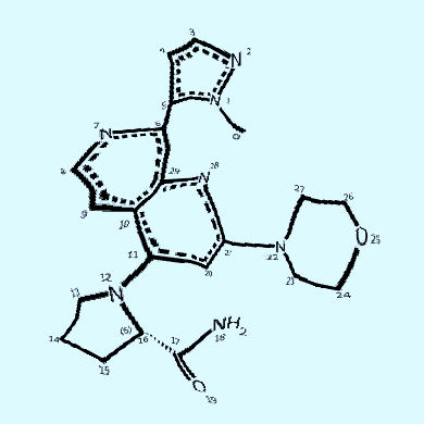 Cn1nccc1-c1nccc2c(N3CCC[C@H]3C(N)=O)cc(N3CCOCC3)nc12